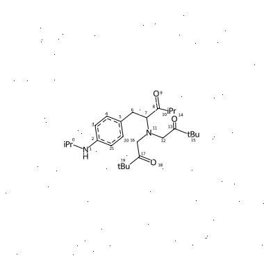 CC(C)Nc1ccc(CC(C(=O)C(C)C)N(CC(=O)C(C)(C)C)CC(=O)C(C)(C)C)cc1